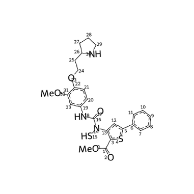 COC(=O)c1sc(-c2ccccc2)cc1N(S)C(=O)Nc1ccc(OCCC2CCCN2)c(OC)c1